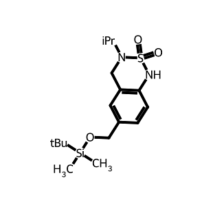 CC(C)N1Cc2cc(CO[Si](C)(C)C(C)(C)C)ccc2NS1(=O)=O